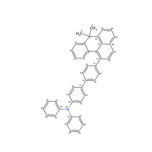 CC1(C)c2ccccc2-c2c(-c3ccc(-c4ccc(N(c5ccccc5)c5ccccc5)cc4)cc3)ccc3cccc1c23